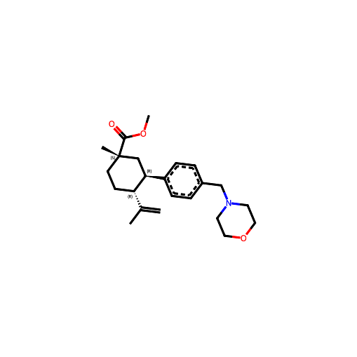 C=C(C)[C@@H]1CC[C@](C)(C(=O)OC)C[C@H]1c1ccc(CN2CCOCC2)cc1